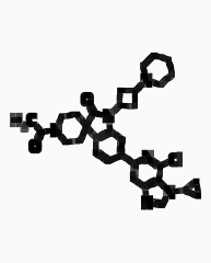 CC(=O)N1CCC2(CC1)C(=O)N(C1CC(N3CCCCC3)C1)c1cc(-c3cc4ncn(C5CC5)c4c(Cl)n3)ccc12